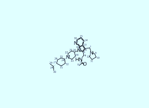 CC(=O)NCc1c(CN2CCCC2)c2cccnc2n1C1CCN([C@H]2CC[C@@H](C(C)C)CC2)CC1